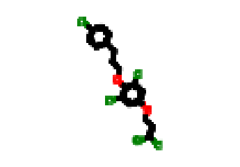 ClC(Cl)=CCOc1cc(Cl)c(OCCCc2ccc(Cl)cc2)c(Cl)c1